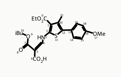 CCOC(=O)c1c(NC=C(C(=O)O)C(=O)OC(C)CC)sc(-c2ccc(OC)cc2)c1C